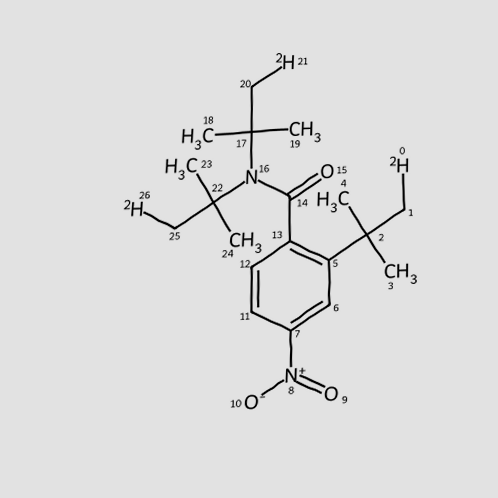 [2H]CC(C)(C)c1cc([N+](=O)[O-])ccc1C(=O)N(C(C)(C)C[2H])C(C)(C)C[2H]